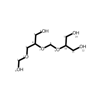 OCOCC(CO)OCOC(CO)CO